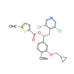 COc1ccc(C(Cc2c(Cl)cncc2Cl)OC(=O)c2ccc(C=O)s2)cc1OCC1CC1